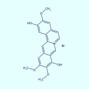 COc1cc2cc[n+]3cc4c(O)c(OC)c(OC)cc4cc3c2cc1O.[Br-]